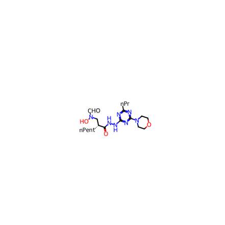 CCCCC[C@H](CN(O)C=O)C(=O)NNc1nc(CCC)nc(N2CCOCC2)n1